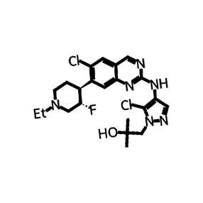 CCN1CC[C@@H](c2cc3nc(Nc4cnn(CC(C)(C)O)c4Cl)ncc3cc2Cl)[C@H](F)C1